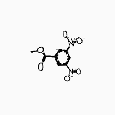 COC(=O)c1[c]c([N+](=O)[O-])cc([N+](=O)[O-])c1